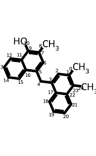 Cc1cc(Cc2cc(C)c(O)c3ccccc23)c2ccccc2c1C